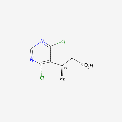 CC[C@H](CC(=O)O)c1c(Cl)ncnc1Cl